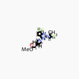 COC(=O)C[C@H]1[C@H]2CN(c3nc(N4CC(F)C4C)nc4c3CCC4(F)F)C[C@@H]12